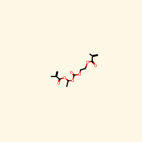 C=C(C)C(=O)OCCOC(=O)OC(C)OC(=O)C(=C)C